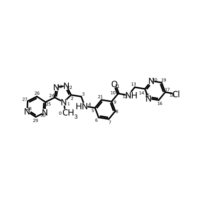 Cn1c(CNc2cccc(C(=O)NCc3ncc(Cl)cn3)c2)nnc1-c1ccncn1